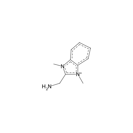 Cn1c(CN)[n+](C)c2ccccc21